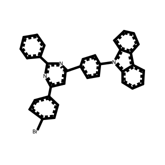 Brc1ccc(-c2cc(-c3ccc(-n4c5ccccc5c5ccccc54)cc3)nc(-c3ccccc3)n2)cc1